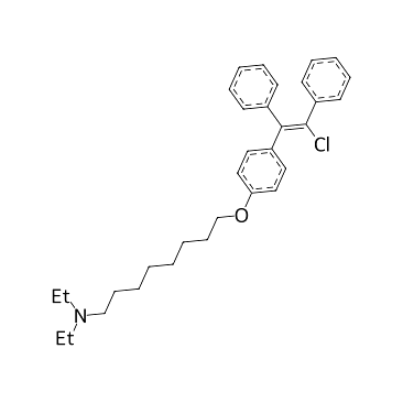 CCN(CC)CCCCCCCCOc1ccc(/C(=C(\Cl)c2ccccc2)c2ccccc2)cc1